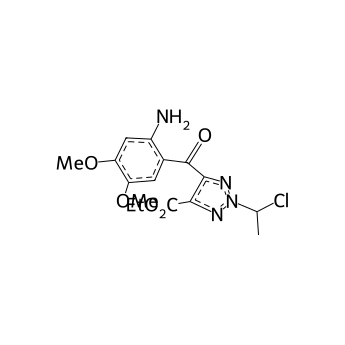 CCOC(=O)c1nn(C(C)Cl)nc1C(=O)c1cc(OC)c(OC)cc1N